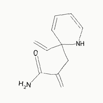 C=CC1(CC(=C)C(N)=O)C=CC=CN1